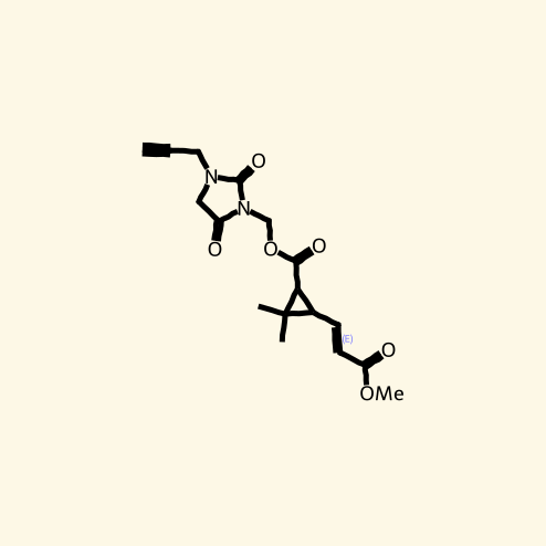 C#CCN1CC(=O)N(COC(=O)C2C(/C=C/C(=O)OC)C2(C)C)C1=O